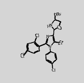 CCc1c(C2NC(C(C)(C)C)CO2)nc(-c2ccc(Cl)cc2Cl)n1-c1ccc(Cl)cc1